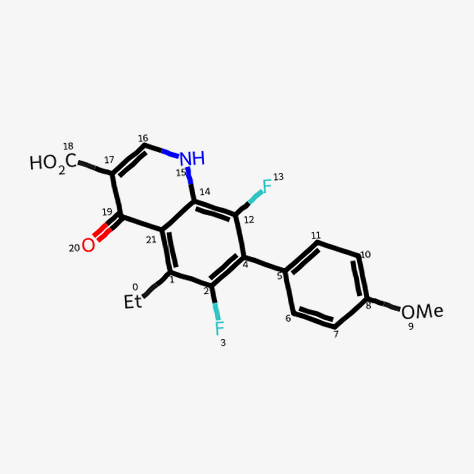 CCc1c(F)c(-c2ccc(OC)cc2)c(F)c2[nH]cc(C(=O)O)c(=O)c12